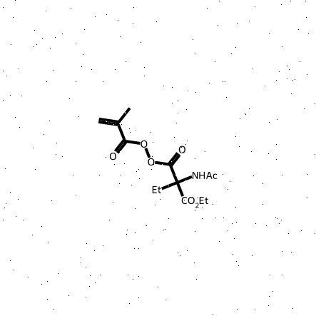 C=C(C)C(=O)OOC(=O)C(CC)(NC(C)=O)C(=O)OCC